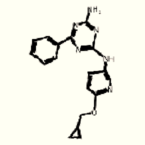 Nc1nc(Nc2ccc(OCC3CC3)nc2)nc(-c2ccccc2)n1